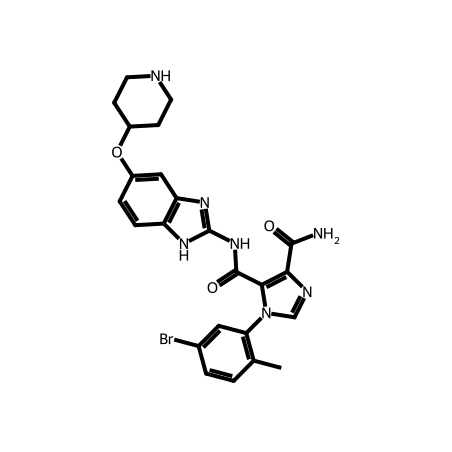 Cc1ccc(Br)cc1-n1cnc(C(N)=O)c1C(=O)Nc1nc2cc(OC3CCNCC3)ccc2[nH]1